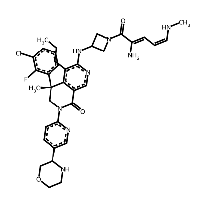 CCCc1c(NC2CN(C(=O)/C(N)=C/C=C\NC)C2)ncc2c1[C@@](C)(c1cccc(Cl)c1F)CN(c1ccc([C@@H]3COCCN3)cn1)C2=O